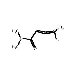 CCC(C)=C=CC(=O)N(C)C